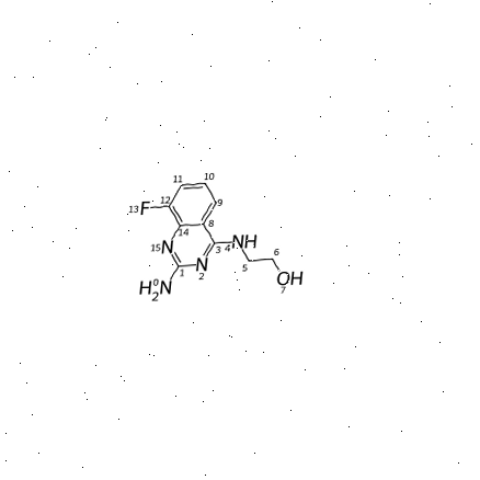 Nc1nc(NCCO)c2cccc(F)c2n1